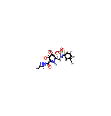 CCCNC(=O)c1c(O)c(=O)cc(CN(c2cccc(C)c2)[SH](=O)=O)n1C